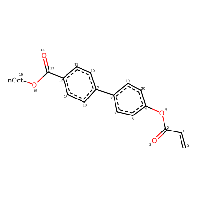 C=CC(=O)Oc1ccc(-c2ccc(C(=O)OCCCCCCCC)cc2)cc1